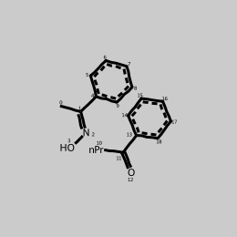 CC(=NO)c1ccccc1.CCCC(=O)c1ccccc1